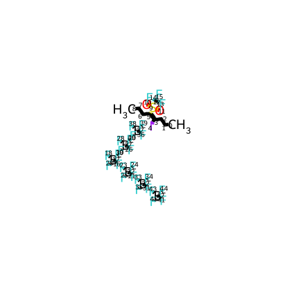 CCCC(I)=C(CCC)S(=O)(=O)C(F)(F)F.F[B-](F)(F)F.F[B-](F)(F)F.F[B-](F)(F)F.F[B-](F)(F)F.F[B-](F)(F)F.F[B-](F)(F)F